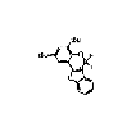 CC(C)(C)c1cc2c(c(C(C)(C)C)c1)O[B-](F)(F)[n+]1c-2oc2ccccc21